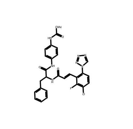 COC(=O)Nc1ccc(NC(=O)C(Cc2ccccc2)NC(=O)C=Cc2c(-n3cnnn3)ccc(Cl)c2F)cc1